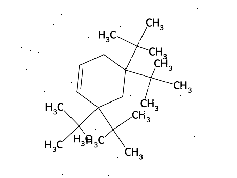 CC(C)(C)C1(C(C)(C)C)C=CCC(C(C)(C)C)(C(C)(C)C)C1